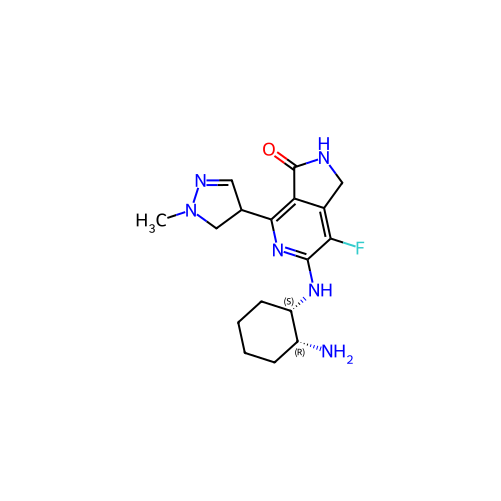 CN1CC(c2nc(N[C@H]3CCCC[C@H]3N)c(F)c3c2C(=O)NC3)C=N1